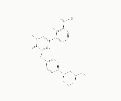 Cc1c(C(N)=O)cccc1-c1cn(C)c(=O)c(Nc2ccc(N3CCOC(CO)C3)cc2)n1